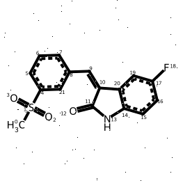 CS(=O)(=O)c1cccc(C=C2C(=O)Nc3ccc(F)cc32)c1